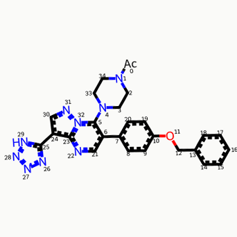 CC(=O)N1CCN(c2c(-c3ccc(OCc4ccccc4)cc3)cnc3c(-c4nnn[nH]4)cnn23)CC1